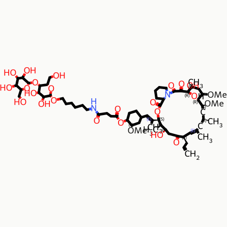 C=CC[C@@H]1/C=C(\C)C[C@@H](C)C[C@H](OC)[C@H]2O[C@@](O)(C(=O)C(=O)N3CCCCC3C(=O)O[C@H](/C(C)=C/C3CCC(OC(=O)CCC(=O)NCCCCCCOC4OC(CO)C(OC5OC(CO)C(O)C(O)C5O)C(O)C4O)[C@H](OC)C3)[C@H](C)[C@H](O)CC1=O)[C@H](C)CC2OC